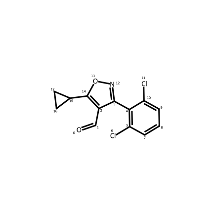 O=Cc1c(-c2c(Cl)cccc2Cl)noc1C1CC1